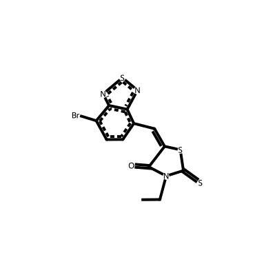 CCN1C(=O)/C(=C\c2ccc(Br)c3nsnc23)SC1=S